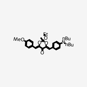 CCCCN(CCCC)c1ccc(/C=C2\OC(C)(OCC)O/C(=C\c3ccc(OC)cc3)C2=O)cc1